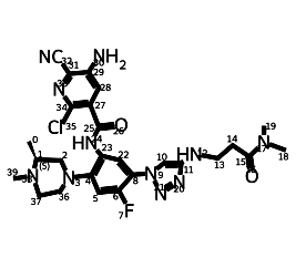 C[C@H]1CN(c2cc(F)c(-n3cc(NCCC(=O)N(C)C)nn3)cc2NC(=O)c2cc(N)c(C#N)nc2Cl)CCN1C